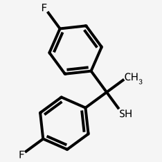 CC(S)(c1ccc(F)cc1)c1ccc(F)cc1